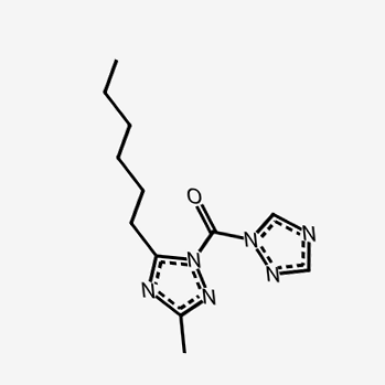 CCCCCCc1nc(C)nn1C(=O)n1cncn1